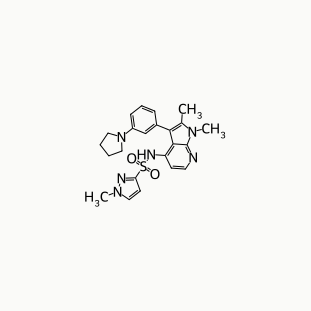 Cc1c(-c2cccc(N3CCCC3)c2)c2c(NS(=O)(=O)c3ccn(C)n3)ccnc2n1C